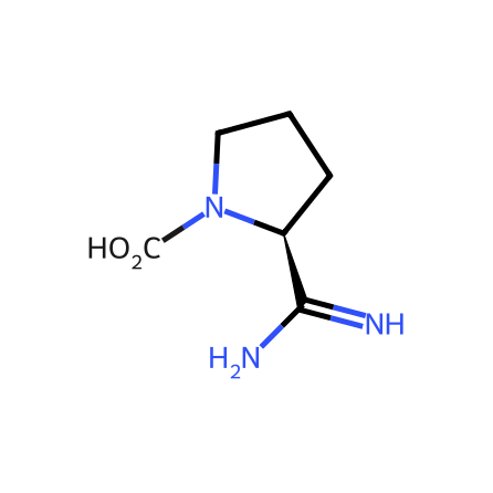 N=C(N)[C@@H]1CCCN1C(=O)O